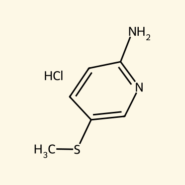 CSc1ccc(N)nc1.Cl